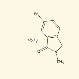 CN1Cc2ccc(Br)cc2C1=O.[PbH2]